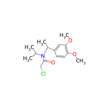 COc1ccc(C(C)N(C(=O)CCl)C(C)C)cc1OC